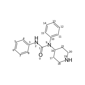 O=C(Nc1ccccc1)N(c1ccccc1)C1CCNCC1